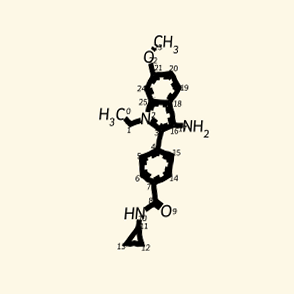 CCn1c(-c2ccc(C(=O)NC3CC3)cc2)c(N)c2ccc(OC)cc21